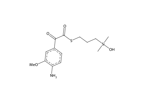 COc1cc(C(=O)C(=O)SCCC[Si](C)(C)O)ccc1N